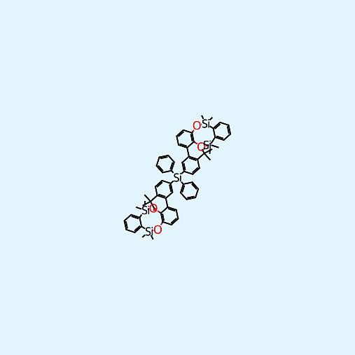 CC(C)(C)c1ccc([Si](c2ccccc2)(c2ccccc2)c2ccc(C(C)(C)C)c(-c3cccc4c3O[Si](C)(C)c3ccccc3[Si](C)(C)O4)c2)cc1-c1cccc2c1O[Si](C)(C)c1ccccc1[Si](C)(C)O2